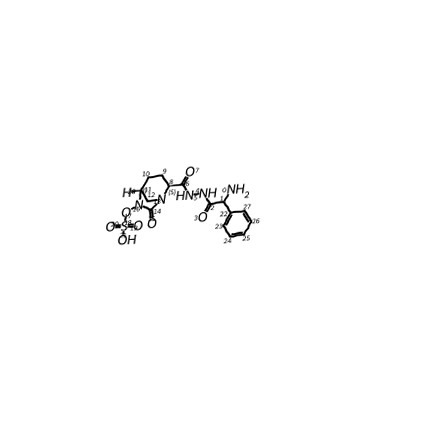 NC(C(=O)NNC(=O)[C@@H]1CC[C@@H]2CN1C(=O)N2OS(=O)(=O)O)c1ccccc1